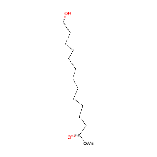 COC(=O)CCCCCCCCCCCCO